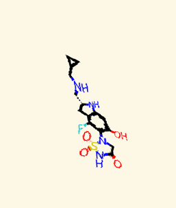 O=C1CN(c2c(O)cc3c(c2F)C[C@H](CNCC2CC2)N3)S(=O)(=O)N1